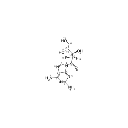 Nc1nc(N)c2ncn(C(=O)C(F)(F)[C@H](O)[C@H](O)CO)c2n1